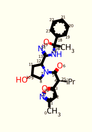 Cc1cc([C@@H](C(=O)N2C[C@H](O)CC2C2=NOC(C)(c3ccccc3)N2)C(C)C)on1